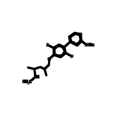 CC(=O)Nc1cc(-c2cc(F)c(OCC(C)CC(C)NC(=O)O)cc2F)ccn1